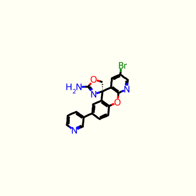 NC1=N[C@]2(CO1)c1cc(-c3cccnc3)ccc1Oc1ncc(Br)cc12